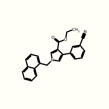 CCOC(=O)c1cn(Cc2cccc3ccccc23)cc1-c1cccc(C#N)c1